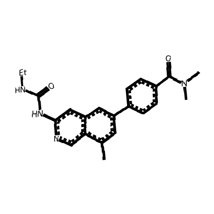 CCNC(=O)Nc1cc2cc(-c3ccc(C(=O)N(C)C)cc3)cc(C)c2cn1